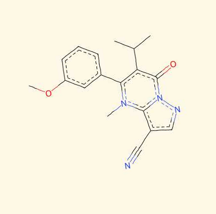 COc1cccc(-c2c(C(C)C)c(=O)n3ncc(C#N)c3n2C)c1